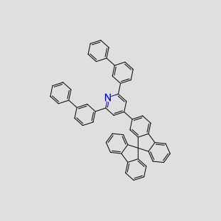 c1ccc(-c2cccc(-c3cc(-c4ccc5c(c4)C4(c6ccccc6-c6ccccc64)c4ccccc4-5)cc(-c4cccc(-c5ccccc5)c4)n3)c2)cc1